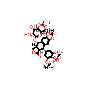 [2H]C([2H])([2H])Oc1cc([C@@H]2c3cc4c(cc3[C@@H](O[C@@H]3O[C@H]5[C@@H](O[C@H](C)OC5([2H])[2H])[C@H](O)[C@H]3O)[C@H]3COC(=O)[C@H]23)OC([2H])([2H])O4)cc(OC([2H])([2H])[2H])c1O